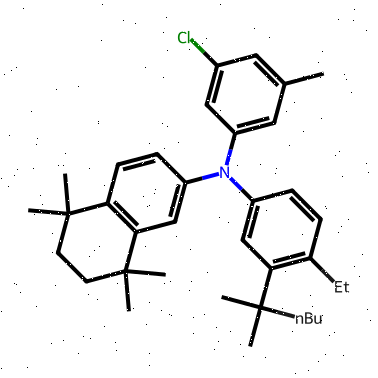 CCCCC(C)(C)c1cc(N(c2cc(C)cc(Cl)c2)c2ccc3c(c2)C(C)(C)CCC3(C)C)ccc1CC